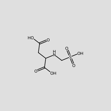 O=C(O)CC(NCS(=O)(=O)O)C(=O)O